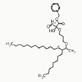 CCCCCCCCCCCCSC(CCCCCCCC)C(C)OCCCOC(O)([PH2]=O)C(=O)OCc1ccccc1